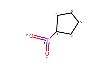 O=P(=O)C1CCCC1